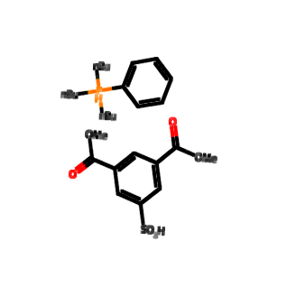 CCCC[PH](CCCC)(CCCC)c1ccccc1.COC(=O)c1cc(C(=O)OC)cc(S(=O)(=O)O)c1